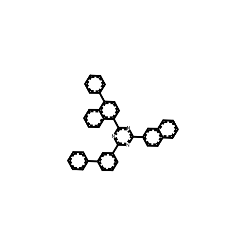 c1ccc(-c2cccc(-c3nc(-c4ccc5ccccc5c4)nc(-c4ccc(-c5ccccc5)c5ccccc45)n3)c2)cc1